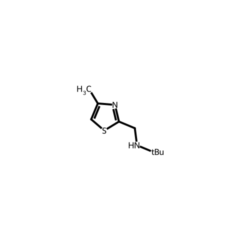 Cc1csc(CNC(C)(C)C)n1